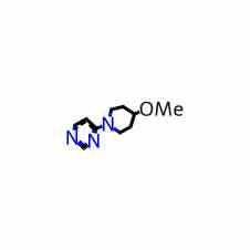 COC1CCN(c2ccncn2)CC1